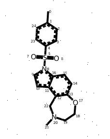 Cc1ccc(S(=O)(=O)n2ccc3c4c(ccc32)OCCN(C)C4)cc1